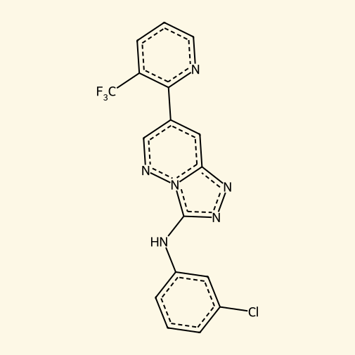 FC(F)(F)c1cccnc1-c1cnn2c(Nc3cccc(Cl)c3)nnc2c1